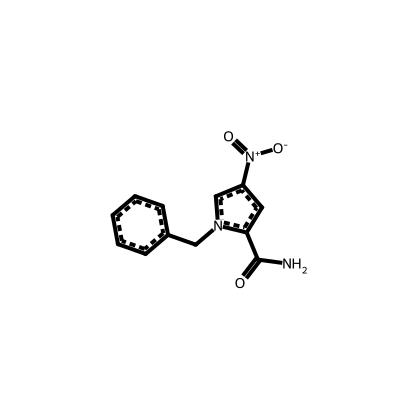 NC(=O)c1cc([N+](=O)[O-])cn1Cc1ccccc1